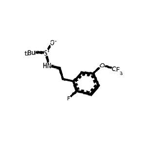 CC(C)(C)[S+]([O-])NCCc1cc(OC(F)(F)F)ccc1F